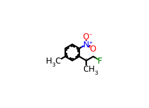 C[C](CF)c1cc(C)ccc1[N+](=O)[O-]